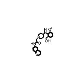 COc1cccc(CO)c1NC1CCN(CC(=O)Nc2ccc3ncccc3c2)CC1